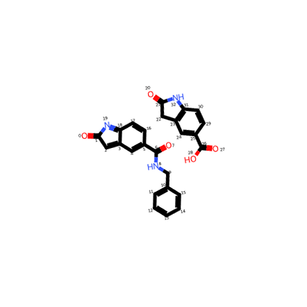 O=C1C=c2cc(C(=O)NCc3ccccc3)ccc2=N1.O=C1Cc2cc(C(=O)O)ccc2N1